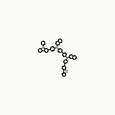 c1ccc(-n2c3ccccc3c3ccc(-c4ccc(N(c5ccc(-c6ccc(N(c7ccc(-c8ccc9c(c8)oc8ccccc89)cc7)c7ccc8ccccc8c7)cc6)cc5)c5ccc6ccccc6c5)cc4)cc32)cc1